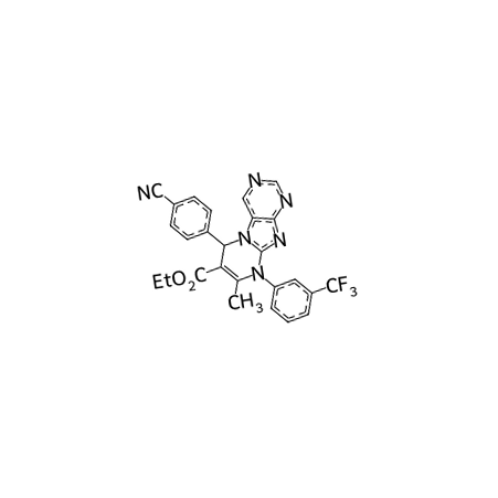 CCOC(=O)C1=C(C)N(c2cccc(C(F)(F)F)c2)c2nc3ncncc3n2C1c1ccc(C#N)cc1